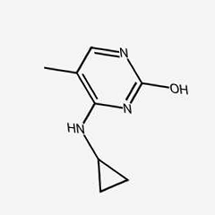 Cc1cnc(O)nc1NC1CC1